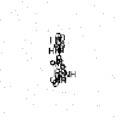 COC(=O)NC(C(=O)N1CCCC1c1ncc(-c2ccc3c(c2)cc2n3[C@H](c3ccccc3)Oc3cc(C4=CNC([C@@H]5CCCN5C(=O)C(NC(=O)OC)C(C)C)N4)ccc3-2)[nH]1)C(C)C